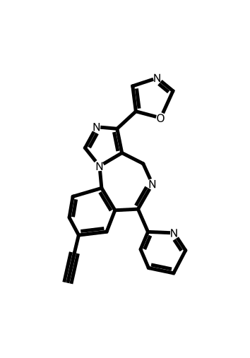 C#Cc1ccc2c(c1)C(c1ccccn1)=NCc1c(-c3cnco3)ncn1-2